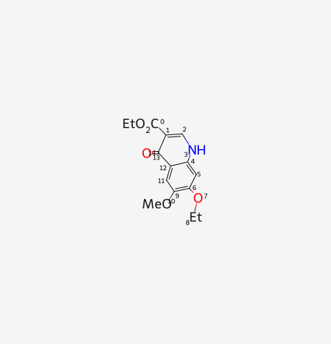 CCOC(=O)c1c[nH]c2cc(OCC)c(OC)cc2c1=O